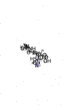 C/N=C(\N=C(/S)n1cc(C(=O)O)c(=O)c2c(C)cc(N3CC(C(=O)Nc4cc(OC)n(C)n4)C3)nc21)OC